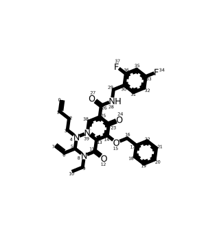 C=CCCN1C(C=C)N(CC)C(=O)c2c(OCc3ccccc3)c(=O)c(C(=O)NCc3ccc(F)cc3F)cn21